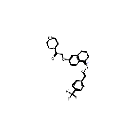 O=C(COc1ccc2c(c1)CCC/C2=N/OCc1ccc(C(F)(F)F)cc1)N1CCOCC1